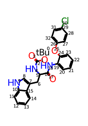 CC(C)(C)OC(=O)NC(Cc1c[nH]c2ccccc12)C(=O)Nc1ccccc1Oc1ccc(Cl)cc1